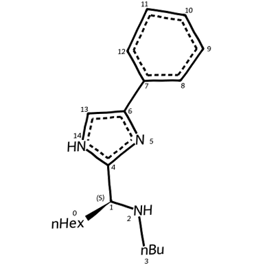 CCCCCC[C@H](NCCCC)c1nc(-c2ccccc2)c[nH]1